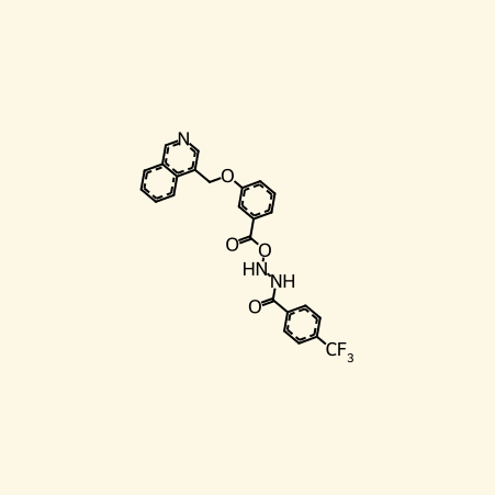 O=C(NNOC(=O)c1cccc(OCc2cncc3ccccc23)c1)c1ccc(C(F)(F)F)cc1